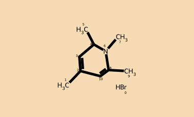 Br.CC1=CC(C)N(C)C(C)=C1